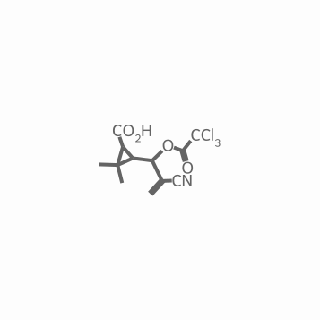 C=C(C#N)C(OC(=O)C(Cl)(Cl)Cl)C1C(C(=O)O)C1(C)C